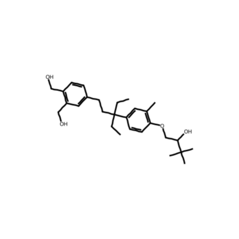 CCC(CC)(CCc1ccc(CO)c(CO)c1)c1ccc(OCC(O)C(C)(C)C)c(C)c1